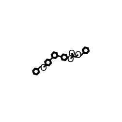 O=C(COCc1ccccc1)Oc1ccc(-c2cccc(-c3ccc(OCc4ccccc4)cc3)c2)cc1